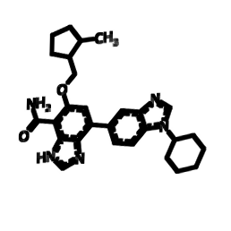 CC1CCCC1COc1cc(-c2ccc3c(c2)ncn3C2CCCCC2)c2nc[nH]c2c1C(N)=O